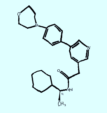 C[C@H](NC(=O)Cc1cncc(-c2ccc(N3CCOCC3)cc2)c1)C1CCCCC1